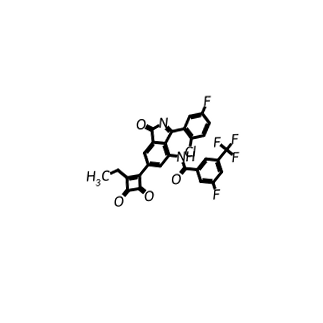 CCc1c(-c2cc(NC(=O)c3cc(F)cc(C(F)(F)F)c3)c3c(c2)C(=O)N=C3c2cc(F)ccc2Cl)c(=O)c1=O